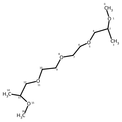 COC(C)COCCOCCOCC(C)OC